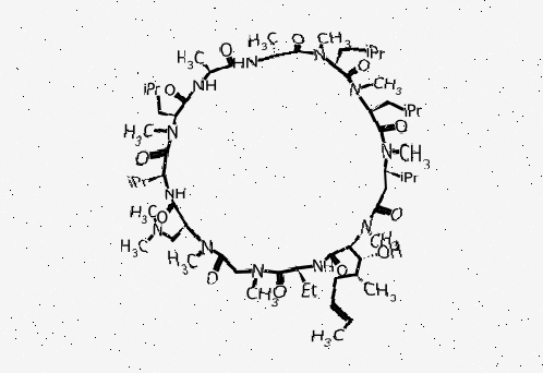 C/C=C/C[C@@H](C)[C@@H](O)[C@H]1C(=O)N[C@@H](CC)C(=O)N(C)CC(=O)N(C)[C@@H](CN(C)C)C(=O)N[C@@H](C(C)C)C(=O)N(C)[C@@H](CC(C)C)C(=O)N[C@@H](C)C(=O)N[C@H](C)C(=O)N(C)[C@@H](CC(C)C)C(=O)N(C)[C@@H](CC(C)C)C(=O)N(C)[C@@H](C(C)C)CC(=O)N1C